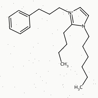 CCCCCCn1cc[n+](CCCc2ccccc2)c1CCCC